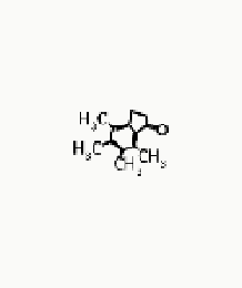 Cc1c(C)c(C)c2c(c1C)CCC2=O